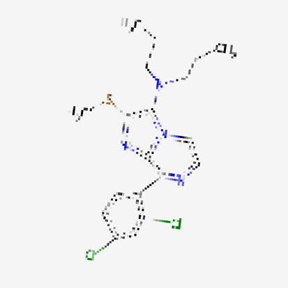 CCCN(CCC)c1c(SC)nc2c(-c3ccc(Cl)cc3Cl)nccn12